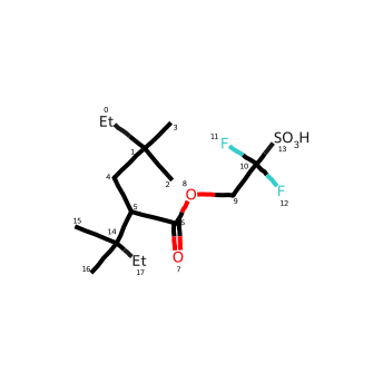 CCC(C)(C)CC(C(=O)OCC(F)(F)S(=O)(=O)O)C(C)(C)CC